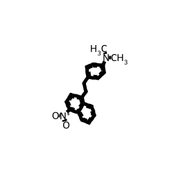 CN(C)c1ccc(CCc2ccc([N+](=O)[O-])c3ccccc23)cc1